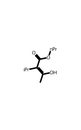 CCCOC(=O)C(=C(C)O)C(C)C